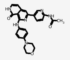 CC(=O)Nc1ccc(-c2cc3cc[nH]c(=O)c3c(Nc3ccc(N4CCOCC4)cc3)n2)cn1